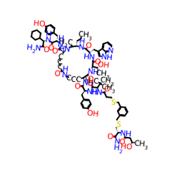 C=C1N[C@H](C(=O)N[C@@H](Cc2ccc(O)cc2)C(=O)N[C@H](C(N)=O)C2CCCCC2)CCCC(=O)NCCC[C@H](NC(=O)[C@H](Cc2ccc(O)cc2)NC(=O)C(NC(=O)CCSCc2cccc(CSC[C@H](NC(=O)C[C@@H](C)O)C(N)=O)c2)C(C)(C)C)C(=O)N[C@H]([C@@H](C)O)C(=O)N[C@@H](Cc2c[nH]c3ncccc23)C(=O)N[C@H]1CCC